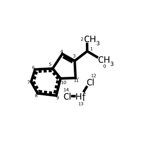 CC(C)C1=Cc2ccccc2[CH]1.[Cl][Hf][Cl]